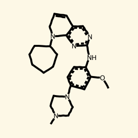 COc1cc(N2CCN(C)CC2)ccc1Nc1ncc2c(n1)N(C1CCCCCC1)CC=C2